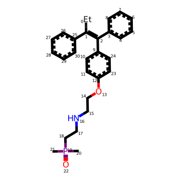 CC/C(=C(\c1ccccc1)c1ccc(OCCNCCP(C)(C)=O)cc1)c1ccccc1